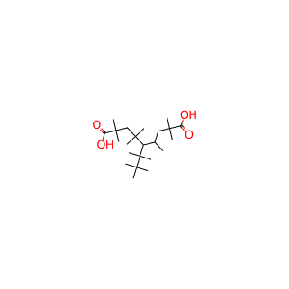 CC(CC(C)(C)C(=O)O)C(C(C)(C)CC(C)(C)C(=O)O)C(C)(C)C(C)(C)C